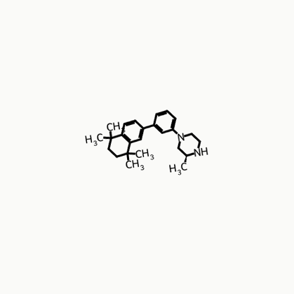 C[C@H]1CN(c2cccc(-c3ccc4c(c3)C(C)(C)CCC4(C)C)c2)CCN1